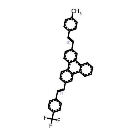 Cc1ccc(/C=C/c2ccc3c4ccc(/C=C/c5ccc(C(F)(F)F)cc5)cc4c4ccccc4c3c2)cc1